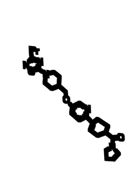 CC(C)c1noc(N2CCC(COc3ccc(C4=CCC(C(=O)N5CCCC5)CC4)nc3)CC2)n1